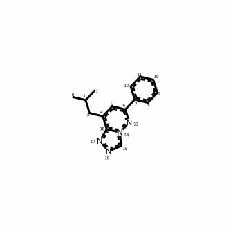 CC(C)Cc1cc(-c2ccccc2)nn2cnnc12